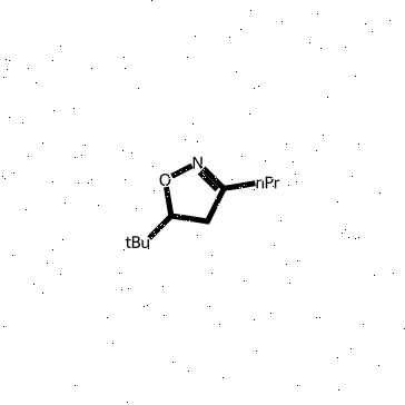 CCCC1=NOC(C(C)(C)C)C1